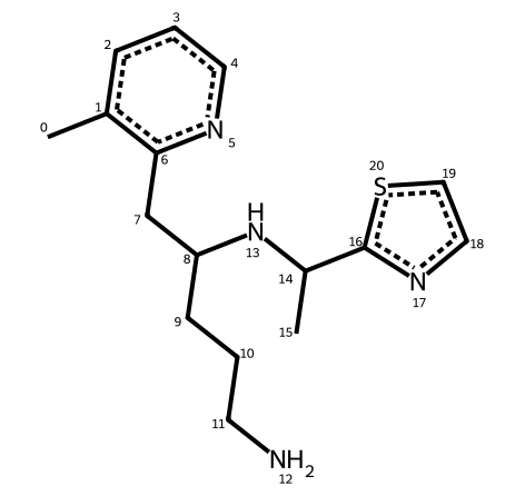 Cc1cccnc1CC(CCCN)NC(C)c1nccs1